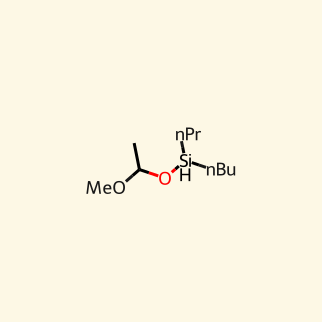 CCCC[SiH](CCC)OC(C)OC